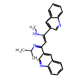 CN/C(=C\C(=N\C(C)C)c1cnc2ccccc2c1)c1cnc2ccccc2c1